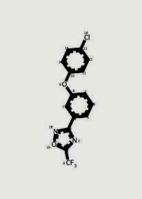 FC(F)(F)c1nc(-c2cc[c]c(Oc3ccc(Cl)cc3)c2)no1